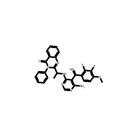 COc1ccc(C(=N)c2c(N)ncnc2NC(C)c2nc3ccccc3c(=O)n2-c2ccccc2)c(F)c1F